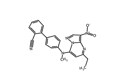 CCc1cc(N(C)c2ccc(-c3ccccc3C#N)cc2)n2ncc([N+](=O)[O-])c2n1